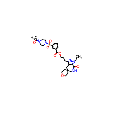 CCn1nc(CCCOC(=O)c2cccc(S(=O)(=O)N3CCN(C(C)=O)CC3)c2)c2c1C(=O)NCC1(CCOCC1)C2